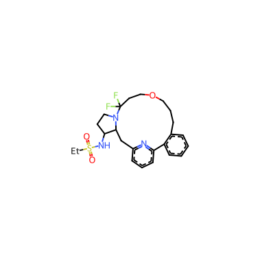 CCS(=O)(=O)NC1CCN2C1Cc1cccc(n1)-c1ccccc1CCCOCCC2(F)F